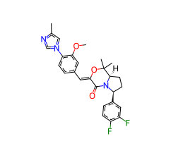 COc1cc(/C=C2\OC(C)(C)[C@H]3CC[C@@H](c4ccc(F)c(F)c4)N3C2=O)ccc1-n1cnc(C)c1